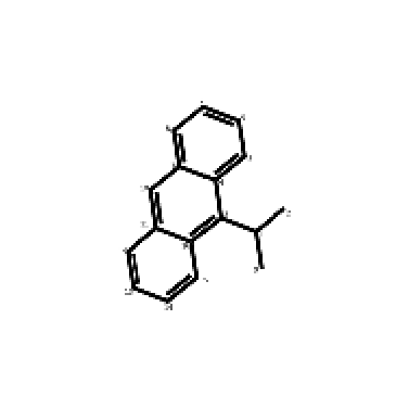 CC(C)c1c2ccccc2cc2ccccc12